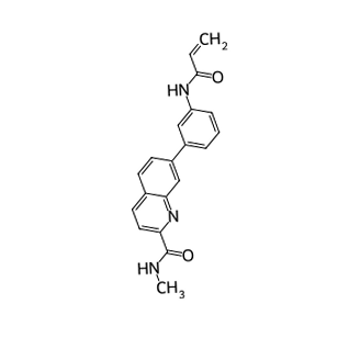 C=CC(=O)Nc1cccc(-c2ccc3ccc(C(=O)NC)nc3c2)c1